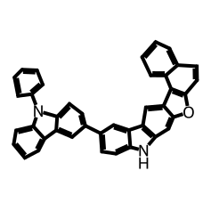 c1ccc(-n2c3ccccc3c3cc(-c4ccc5[nH]c6cc7oc8ccc9ccccc9c8c7cc6c5c4)ccc32)cc1